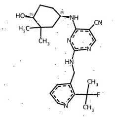 CC(C)(F)c1ncccc1CNc1ncc(C#N)c(N[C@@H]2CC[C@H](O)C(C)(C)C2)n1